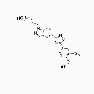 CC(C)Oc1ccc(-c2nc(-c3ccc4c(cnn4CCCC(=O)O)c3)no2)cc1C(F)(F)F